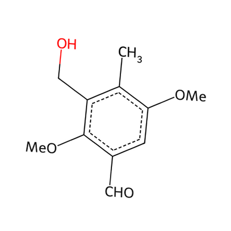 COc1cc(C=O)c(OC)c(CO)c1C